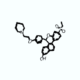 CCS(=O)(=O)c1ccc2c(c1)OC(c1ccc(OCCN3CCCCC3)cc1)c1c-2ccc2cc(O)ccc12